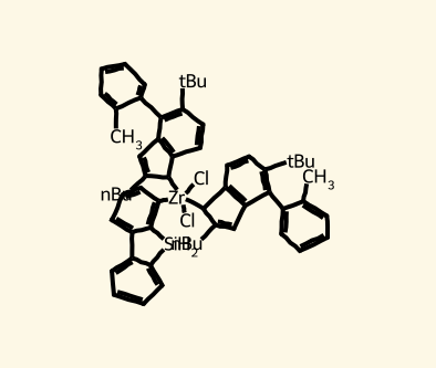 CCCCC1=Cc2c(ccc(C(C)(C)C)c2-c2ccccc2C)[CH]1[Zr]([Cl])([Cl])([c]1cccc2c1[SiH2]c1ccccc1-2)[CH]1C(CCCC)=Cc2c1ccc(C(C)(C)C)c2-c1ccccc1C